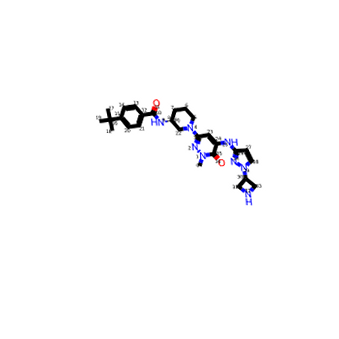 Cn1nc(N2CCC[C@@H](NC(=O)c3ccc(C(C)(C)C)cc3)C2)cc(Nc2ccn(C3CNC3)n2)c1=O